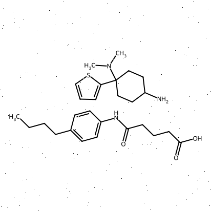 CCCCc1ccc(NC(=O)CCCC(=O)O)cc1.CN(C)C1(c2cccs2)CCC(N)CC1